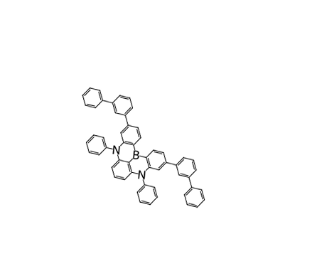 c1ccc(-c2cccc(-c3ccc4c(c3)N(c3ccccc3)c3cccc5c3B4c3ccc(-c4cccc(-c6ccccc6)c4)cc3N5c3ccccc3)c2)cc1